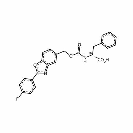 O=C(N[C@H](Cc1ccccc1)C(=O)O)OCc1ccc2oc(-c3ccc(F)cc3)nc2c1